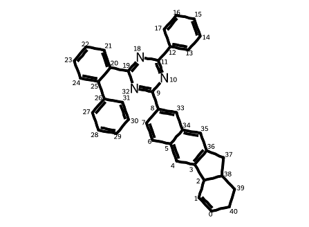 C1=CC2c3cc4ccc(-c5nc(-c6ccccc6)nc(-c6ccccc6-c6ccccc6)n5)cc4cc3CC2CC1